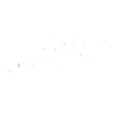 CCCC(=O)N(C)C[C@@H](C)C1CCC2C3=CCC4C[C@@H](OC(C)=O)CC[C@]4(C)C3CC[C@@]21C